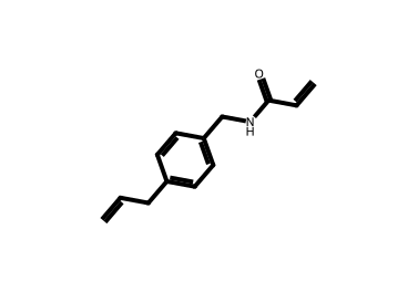 C=CCc1ccc(CNC(=O)C=C)cc1